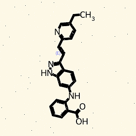 CCc1ccc(/C=C/c2n[nH]c3cc(Nc4ccccc4C(=O)O)ccc23)nc1